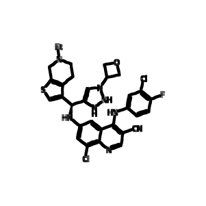 CCN1CCc2c([C@H](Nc3cc(Cl)c4ncc(C#N)c(Nc5ccc(F)c(Cl)c5)c4c3)C3=CN(C4COC4)NN3)csc2C1